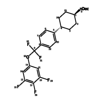 CCCCCCCCCC[C@H]1CC[C@H](c2ccc(C(F)(F)Oc3cc(F)c(F)c(F)c3)cc2)CC1